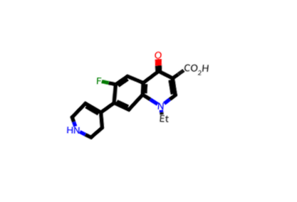 CCn1cc(C(=O)O)c(=O)c2cc(F)c(C3=CCNCC3)cc21